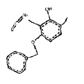 Cc1ccc(OCc2ccccc2)c(C)c1O.N=C=O